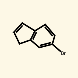 Brc1ccc2c(c1)C[C]=C2